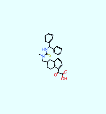 CN(CC1CCc2c(cccc2C(=O)C(=O)O)C1)C(=S)NC(c1ccccc1)c1ccccc1